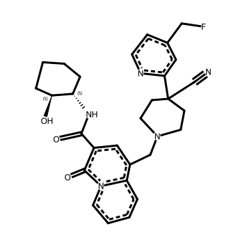 N#CC1(c2cc(CF)ccn2)CCN(Cc2cc(C(=O)N[C@H]3CCCC[C@@H]3O)c(=O)n3ccccc23)CC1